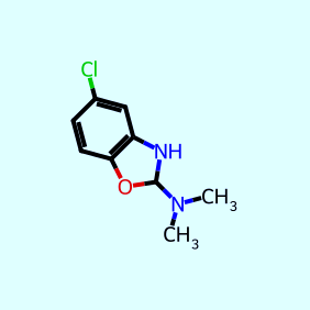 CN(C)C1Nc2cc(Cl)ccc2O1